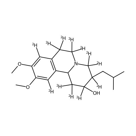 [2H]c1c(OC)c(OC)c([2H])c2c1C1N(C([2H])([2H])C2([2H])[2H])C([2H])([2H])C([2H])(CC(C)C)C([2H])(O)C1([2H])[2H]